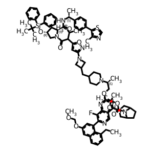 CCc1cccc2cc(OCOC)cc(-c3ncc4c(N5CC6CCC(C5)N6C(=O)OC(C)(C)C)nc(OC[C@H](C)N5CCC(CC6CN(c7cc(C(C(=O)N8C[C@H](O[Si](c9ccccc9)(c9ccccc9)C(C)(C)C)C[C@H]8C(=O)N[C@@H](C)c8ccc(-c9scnc9C)cc8)C(C)C)on7)C6)CC5)nc4c3F)c12